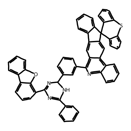 c1ccc(C2=NC(c3cccc4c3oc3ccccc34)=NC(c3cccc(-c4nc5ccccc5c5cc6c(cc45)-c4ccccc4C64c5ccccc5Sc5ccccc54)c3)N2)cc1